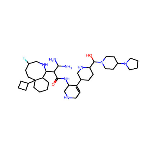 NC(N)C(C(=O)NC1CNCC=C1C1CCC(C(O)N2CCC(N3CCCC3)CC2)NC1)C1NCC(F)CCC2(C3CCC3)CCCCC12